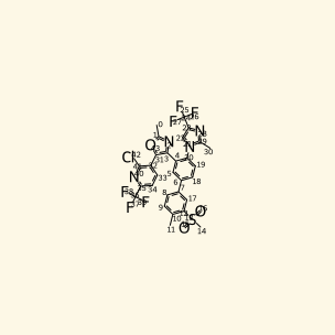 Cc1nc(-c2cc(-c3ccc(C)c(S(C)(=O)=O)c3)ccc2-n2cc(C(F)(F)F)nc2C)c(-c2ccc(C(F)(F)F)nc2Cl)o1